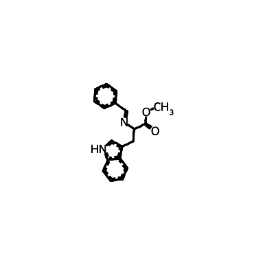 COC(=O)C(Cc1c[nH]c2ccccc12)N=Cc1ccccc1